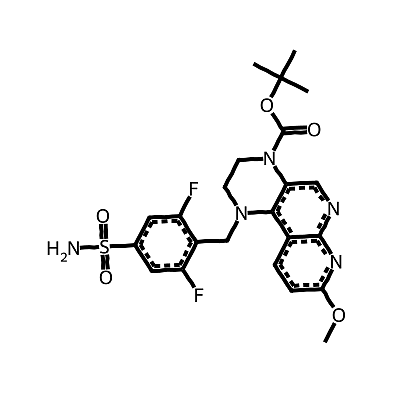 COc1ccc2c3c(cnc2n1)N(C(=O)OC(C)(C)C)CCN3Cc1c(F)cc(S(N)(=O)=O)cc1F